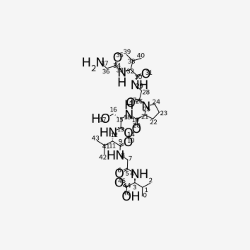 CC(C)[C@H](NC(=O)CNC(=O)[C@@H](NC(=O)[C@H](CO)NC(=O)[C@@H]1CCCN1C(=O)CNC(=O)[C@@H](NC(=O)CN)C(C)C)C(C)C)C(=O)O